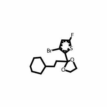 Fc1cc(Br)c(C2(CCC3CCCCC3)OCCO2)s1